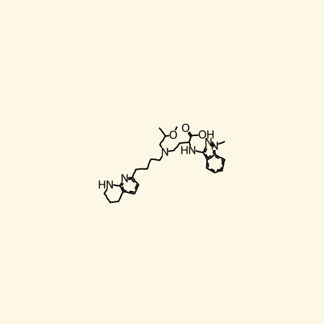 COC(C)CN(CCCCc1ccc2c(n1)NCCC2)CCC(Nc1nn(C)c2ccccc12)C(=O)O